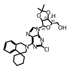 CC1(C)OC2[C@@H](O1)[C@@H](CO)O[C@H]2n1cnc2c(N3Cc4ccccc4C4(CCCCC4)C3)nc(Cl)nc21